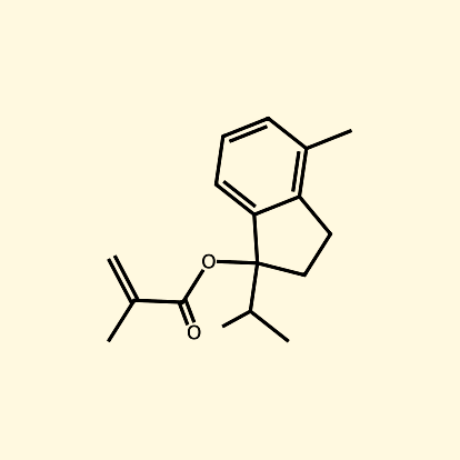 C=C(C)C(=O)OC1(C(C)C)CCc2c(C)cccc21